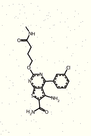 CNC(=O)CCCOc1nc(-c2cccc(Cl)c2)c2c(N)c(C(N)=O)sc2n1